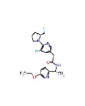 C[C@@H](NC(=O)Cc1cnc(N2CCC[C@H]2CF)c(F)c1)c1ccc(OCC(F)(F)F)cn1